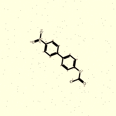 O=C(Cl)Oc1ccc(-c2ccc([N+](=O)[O-])cc2)cc1